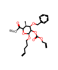 C=CCCCO[C@H]1OC(C(=O)OC)[C@@H](C)[C@@H](OCc2ccccc2)C1OC(=O)OCC=C